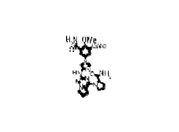 COc1cc(-n2cnc(Nc3nc(N4CCCC4C(N)=O)c4cccn4n3)c2)cc(C(N)=O)c1OC